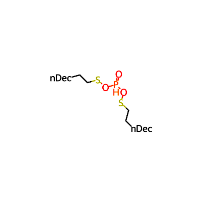 CCCCCCCCCCCCSO[PH](=O)OSCCCCCCCCCCCC